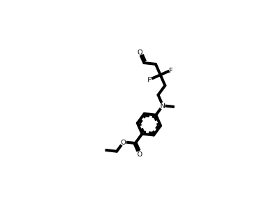 CCOC(=O)c1ccc(N(C)CCC(F)(F)CC=O)cc1